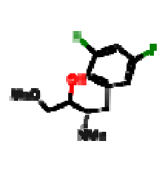 CN[C@@H](Cc1cc(F)cc(F)c1)C(O)COC